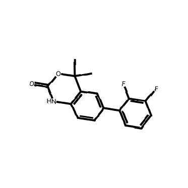 CC1(C)OC(=O)Nc2ccc(-c3cccc(F)c3F)cc21